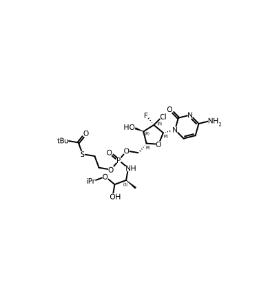 CC(C)OC(O)[C@H](C)NP(=O)(OCCSC(=O)C(C)(C)C)OC[C@H]1O[C@@H](n2ccc(N)nc2=O)[C@](F)(Cl)[C@@H]1O